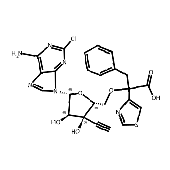 C#C[C@@]1(O)[C@@H](COC(Cc2ccccc2)(C(=O)O)c2cscn2)O[C@@H](n2cnc3c(N)nc(Cl)nc32)[C@@H]1O